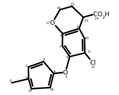 Cc1ccc(Oc2cc3c(cc2Cl)C(C(=O)O)CCO3)cc1